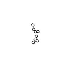 c1ccc(-c2ccc3cc(-c4ccc(-c5cccc6c5sc5ccccc56)cc4)c4ccccc4c3c2)cc1